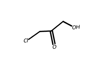 O=C(CO)CCl